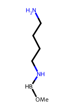 COBNCCCCN